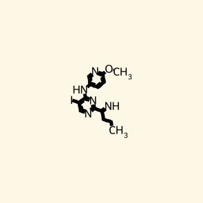 CCCC(=N)c1ncc(I)c(Nc2ccc(OC)nc2)n1